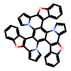 c1ccc2c(c1)oc1c2c2c3c(c4c5ccccc5oc4c4cccn43)c3c(c4c5ccccc5oc4c4cccn43)c2n2cccc12